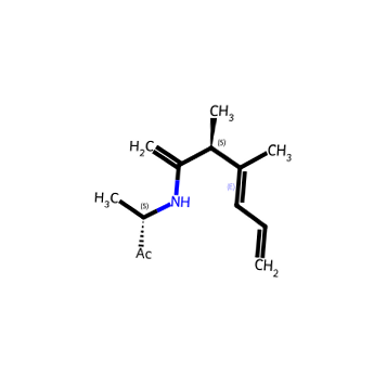 C=C/C=C(\C)[C@H](C)C(=C)N[C@@H](C)C(C)=O